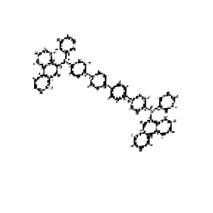 c1ccc(N(c2ccc(-c3ccc(-c4ccc(-c5ccc(N(c6ccccc6)c6cc7ccccc7c7ccccc67)cc5)cc4)cc3)cc2)c2cc3ccccc3c3ccccc23)cc1